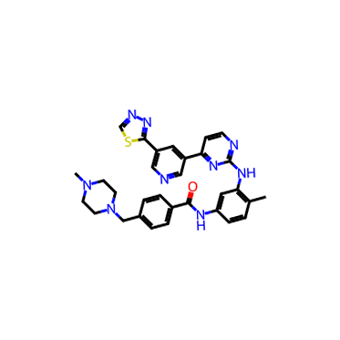 Cc1ccc(NC(=O)c2ccc(CN3CCN(C)CC3)cc2)cc1Nc1nccc(-c2cncc(-c3nncs3)c2)n1